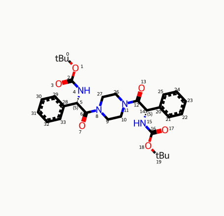 CC(C)(C)OC(=O)N[C@H](C(=O)N1CCN(C(=O)[C@@H](NC(=O)OC(C)(C)C)c2ccccc2)CC1)c1ccccc1